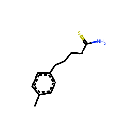 Cc1ccc(CCCCC(N)=S)cc1